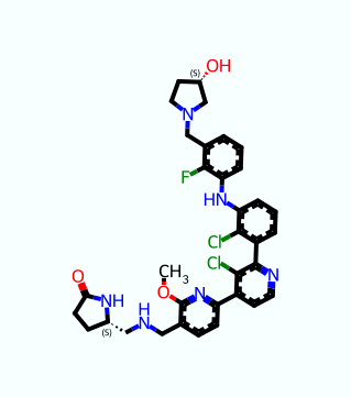 COc1nc(-c2ccnc(-c3cccc(Nc4cccc(CN5CC[C@H](O)C5)c4F)c3Cl)c2Cl)ccc1CNC[C@@H]1CCC(=O)N1